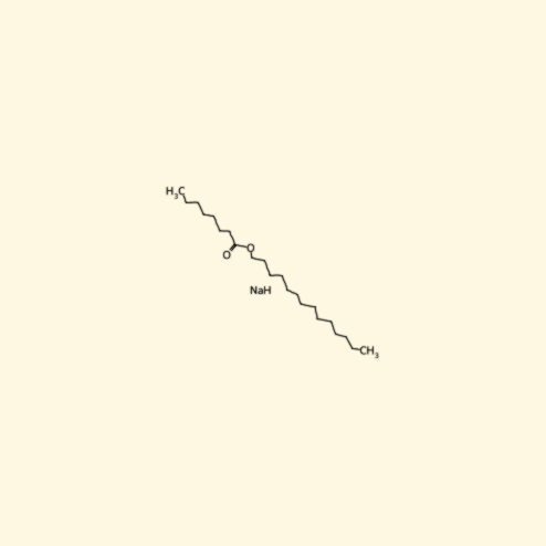 CCCCCCCCCCCCCCOC(=O)CCCCCCC.[NaH]